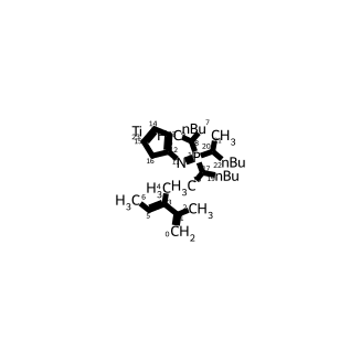 C=C(C)C(C)=CC.CCCCC(C)P(=NC1=CC=CC1)(C(C)CCCC)C(C)CCCC.[Ti]